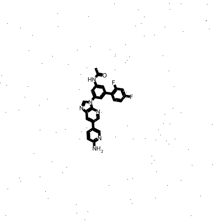 CC(=O)Nc1cc(-c2ccc(F)cc2F)cc(-n2cnc3cc(-c4ccc(N)nc4)cnc32)c1